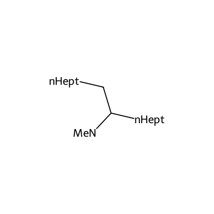 CCCCCCCCC(CCCCCCC)NC